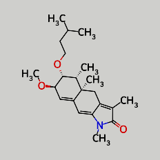 CO[C@@H]1C=C2C=C3C(=C(C)C(=O)N3C)C[C@]2(C)[C@@H](C)[C@H]1OCCC(C)C